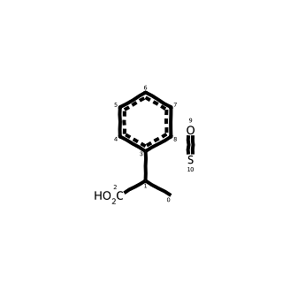 CC(C(=O)O)c1ccccc1.O=S